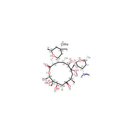 CC[C@H]1OC(=O)[C@H](C)C([C@H]2C[C@@](C)(OC)C[C@H](C)O2)[C@H](C)[C@@H](O[C@H]2C[C@@H](N(C)C)C[C@@H](C)O2)[C@](C)(OI)C[C@@H](C)C(=O)[C@H](C)[C@@H](O)[C@]1(C)O